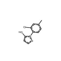 Cc1ccc(-n2nccc2O)c(Cl)c1